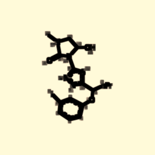 CCCC(Oc1cccc(I)c1)c1nnc(N2C(=O)N(C)CC2O)s1